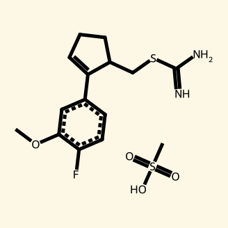 COc1cc(C2=CCCC2CSC(=N)N)ccc1F.CS(=O)(=O)O